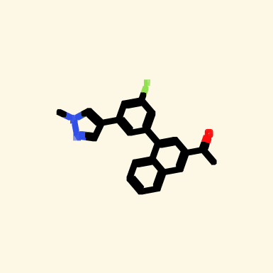 CC(=O)c1cc(-c2cc(F)cc(-c3cnn(C)c3)c2)c2ccccc2c1